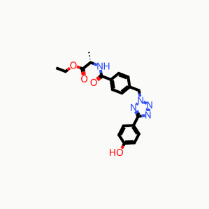 CCOC(=O)[C@H](C)NC(=O)c1ccc(Cn2nnc(-c3ccc(O)cc3)n2)cc1